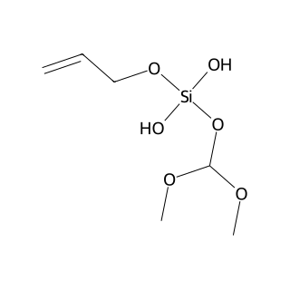 C=CCO[Si](O)(O)OC(OC)OC